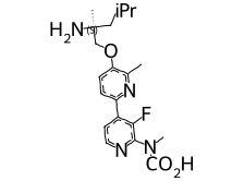 Cc1nc(-c2ccnc(N(C)C(=O)O)c2F)ccc1OC[C@@](C)(N)CC(C)C